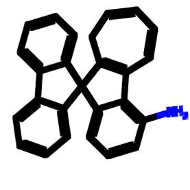 Nc1cccc2c1C1=C(CC=CC=C1)C21c2ccccc2-c2ccccc21